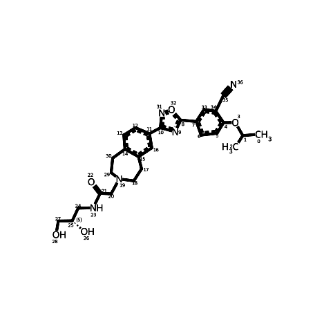 CC(C)Oc1ccc(-c2nc(-c3ccc4c(c3)CCN(CC(=O)NC[C@H](O)CO)CC4)no2)cc1C#N